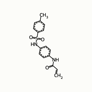 C=CC(=O)Nc1ccc(NS(=O)(=O)c2ccc(C)cc2)cc1